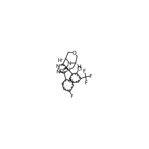 O=C(c1cccc(C(F)(F)F)c1Cl)N1[C@H]2COC[C@@H]1c1nnc(-c3ccc(F)cn3)n1C2